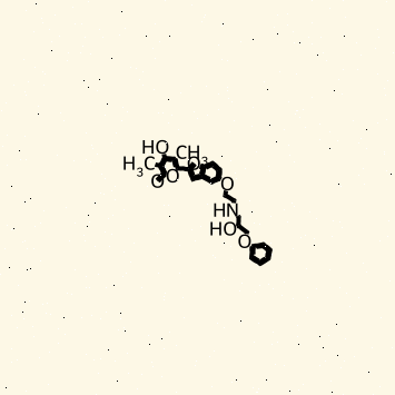 Cc1c(-c2cc3cc(OCCNCC(O)COc4ccccc4)ccc3o2)oc(=O)c(C)c1O